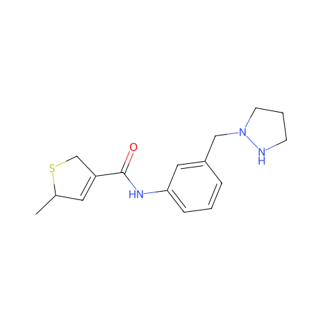 CC1C=C(C(=O)Nc2cccc(CN3CCCN3)c2)CS1